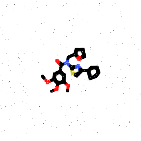 COc1cc(C(=O)N(Cc2ccco2)c2nc(-c3ccccc3)cs2)cc(OC)c1OC